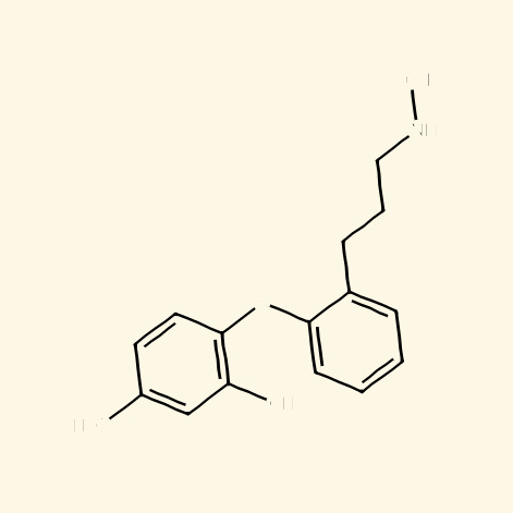 CNCCCc1ccccc1Sc1ccc(C)cc1C